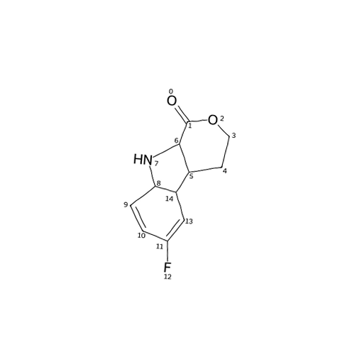 O=C1OCCC2C1NC1C=CC(F)=CC12